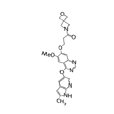 COc1cc2c(Oc3cnc4[nH]c(C)cc4c3)ncnc2cc1OCCC(=O)N1CC2(COC2)C1